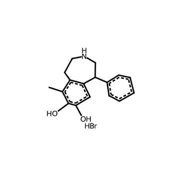 Br.Cc1c(O)c(O)cc2c1CCNCC2c1ccccc1